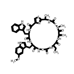 C=C1NC(=O)C(CC)NC(=O)CNC(=O)C(Cc2c[nH]c3ccc(OC)cc23)NC(=O)C(Cc2c[nH]c3ccccc23)NC(=O)c2csc(n2)C(C)NC(=O)CN(C)C1=O